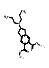 CCCN(CCC)C1Cc2cc(C(=O)OC)c(C(=O)OC)cc2C1